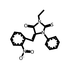 CCN1C(=O)C(=Cc2ccccc2[N+](=O)[O-])N(c2ccccc2)C1=S